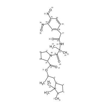 CC(CC1CCC(C)C1(C)C)OC(=O)C1CCCN1C(=O)C(C)(C)NC(=O)Cc1ccc(N=O)c(N=O)c1